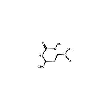 C[S+]([O-])CCC([C]=O)NC(=O)OC(C)(C)C